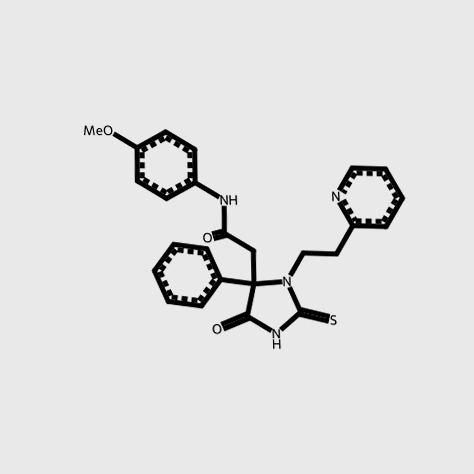 COc1ccc(NC(=O)CC2(c3ccccc3)C(=O)NC(=S)N2CCc2ccccn2)cc1